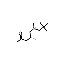 CC(=O)C[C@@H](C)CN(C)CC(C)(C)C